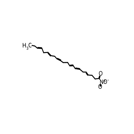 CCC=CCC=CCC=CCCC=CC=CCC=CCCC(=O)[N+](=O)[O-]